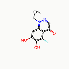 CCn1ncc(=O)c2c(F)c(O)c(O)cc21